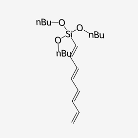 C=CC=CC=CC=C[Si](OCCCC)(OCCCC)OCCCC